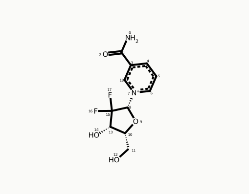 NC(=O)c1ccc[n+]([C@@H]2O[C@H](CO)[C@H](O)C2(F)F)c1